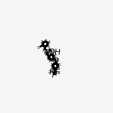 Cc1ccccc1CN(CO)Cc1ccc(Oc2ccc(C(F)(F)F)cc2)cc1